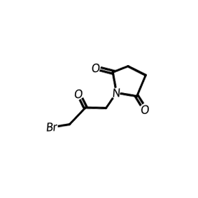 O=C(CBr)CN1C(=O)CCC1=O